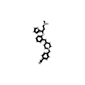 CNCCC(Oc1ccccc1CC1CCN(Cc2ccc(C#N)cc2)CC1)c1cccs1